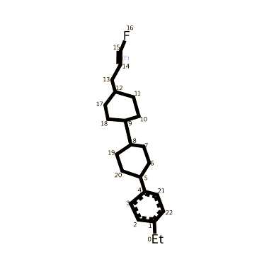 CCc1ccc(C2CCC(C3CCC(C/C=C/F)CC3)CC2)cc1